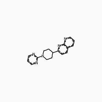 c1cnc(N2CCC(c3ccc4cccnc4n3)CC2)nc1